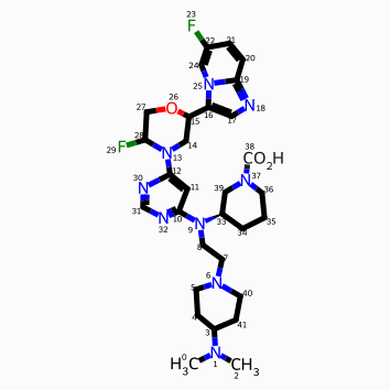 CN(C)C1CCN(CCN(c2cc(N3CC(c4cnc5ccc(F)cn45)OCC3F)ncn2)[C@@H]2CCCN(C(=O)O)C2)CC1